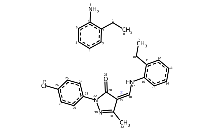 CCc1ccccc1N.CCc1ccccc1N/C=C1\C(=O)N(c2ccc(Cl)cc2)N=C1C